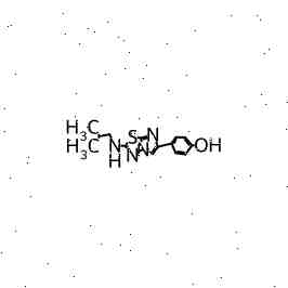 CC(C)CNc1nn2cc(-c3ccc(O)cc3)nc2s1